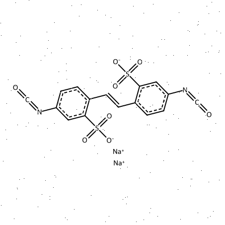 O=C=Nc1ccc(C=Cc2ccc(N=C=O)cc2S(=O)(=O)[O-])c(S(=O)(=O)[O-])c1.[Na+].[Na+]